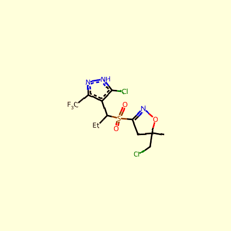 CCC(c1c(C(F)(F)F)n[nH]c1Cl)S(=O)(=O)C1=NOC(C)(CCl)C1